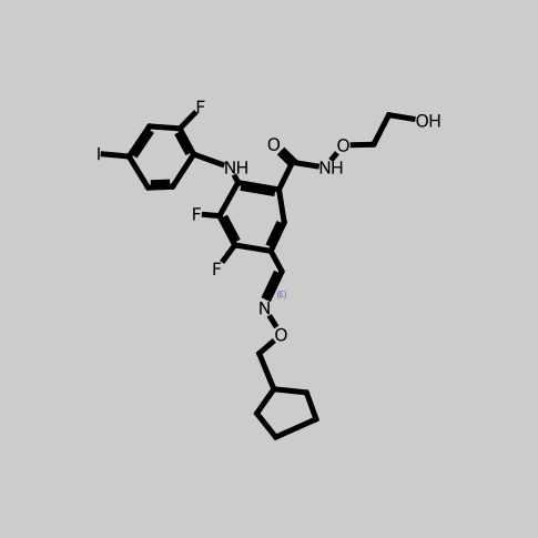 O=C(NOCCO)c1cc(/C=N/OCC2CCCC2)c(F)c(F)c1Nc1ccc(I)cc1F